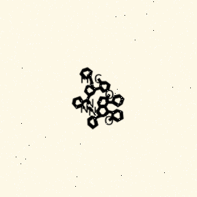 Cc1ccccc1C1=C(Cc2ccccc2)CCC(c2nc(-n3c4ccccc4c4c5oc6ccccc6c5c5c(ccc6oc7ccccc7c65)c43)nc3ccccc23)=C1